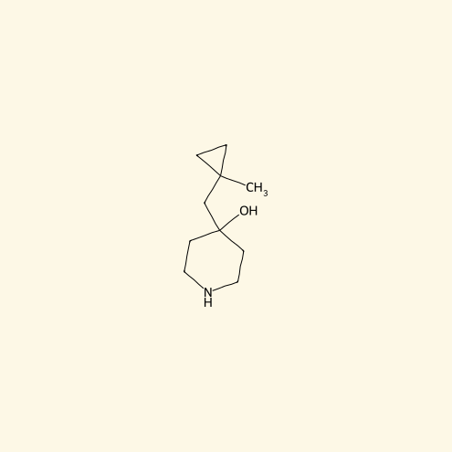 CC1(CC2(O)CCNCC2)CC1